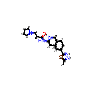 Cc1nnc(-c2ccc3cnc(NC(=O)CCN4CCCC4)cc3c2)s1